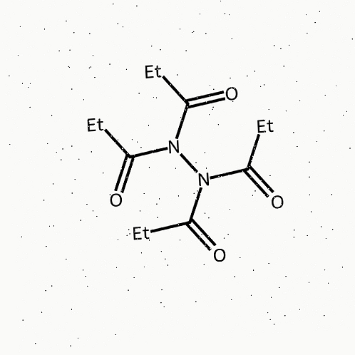 CCC(=O)N(C(=O)CC)N(C(=O)CC)C(=O)CC